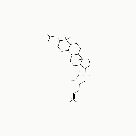 COCC(O)(CCCC=C(C)C)C1CCC2(C)[C@@H]1CCC1[C@@]3(C)CCC(OC(C)C)C(C)(C)C3CC[C@]12C